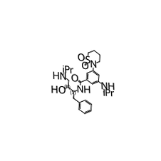 CC(C)NC[C@@H](O)[C@H](Cc1ccccc1)NC(=O)c1cc(NC(C)C)cc(N2CCCCS2(=O)=O)c1